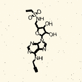 C#CCNc1ncnc2c1ncn2C1OC(CNS(=O)(=O)C=C)C(O)C1O